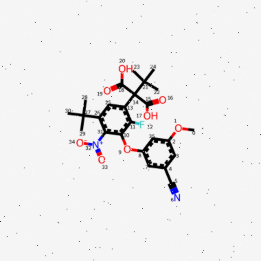 COc1cc(C#N)cc(Oc2c(F)c(C(C(=O)O)(C(=O)O)C(C)(C)C)cc(C(C)(C)C)c2[N+](=O)[O-])c1